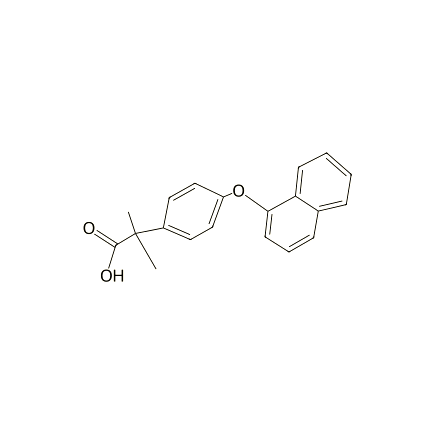 CC(C)(C(=O)O)c1ccc(Oc2cccc3ccccc23)cc1